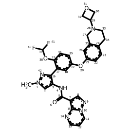 Cn1cc(NC(=O)c2cnn3cccnc23)c(-c2cc(Oc3ccc4c(c3)CN(C3COC3)CC4)ccc2OC(F)F)n1